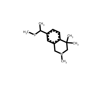 CSC(C)c1ccc2c(c1)CN(C)CC2(C)C